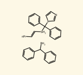 BC(c1ccccc1)c1ccccc1.CCCC=C[SiH2]C(c1ccccc1)(c1ccccc1)n1ccnc1